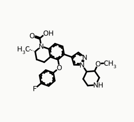 COC1CNCCC1n1cc(-c2ccc3c(c2Oc2ccc(F)cc2)CC[C@H](C)N3C(=O)O)cn1